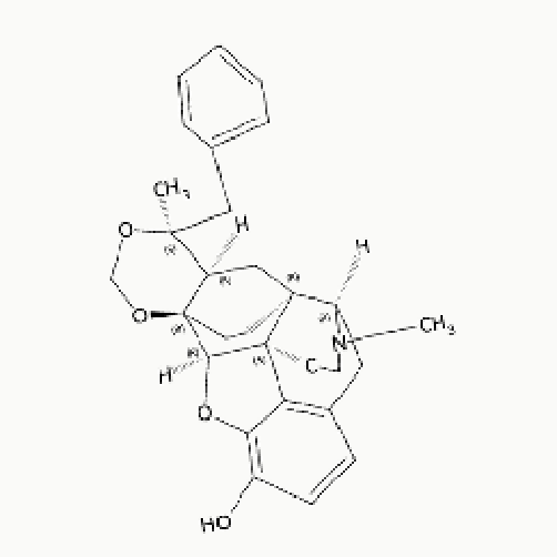 CN1CC[C@]23c4c5ccc(O)c4O[C@H]2[C@@]24CC[C@]3(C[C@@H]2[C@](C)(Cc2ccccc2)OCO4)[C@H]1C5